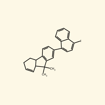 CC1(C)c2cc(-c3ccc(I)c4ccccc34)ccc2C2CCC=CC21